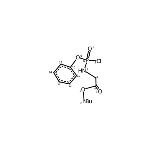 CCCCOC(=O)CNP(=O)(Cl)Oc1ccccc1